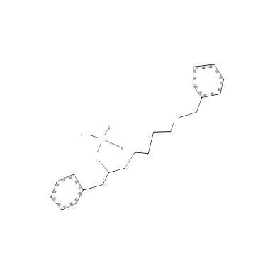 CC(C)[Si](OC(CCCCCOCc1ccccc1)Cc1ccccc1)(C(C)C)C(C)C